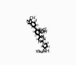 Cl.Cl.Cn1ncc2cc(-c3ccc(-c4cnc(N5CCC(NC(C)(C)C)C5)nn4)c(O)c3)ccc21